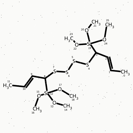 CC=CC(SSSSC(C=CC)[Si](OC)(OC)OC)[Si](OC)(OC)OC